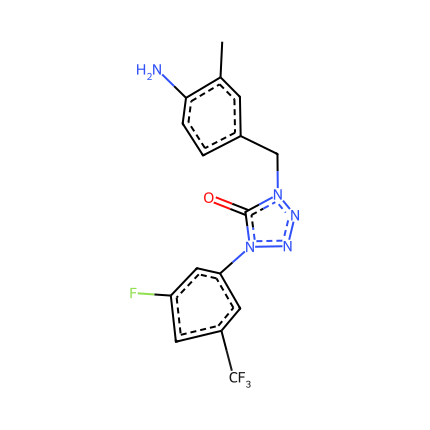 Cc1cc(Cn2nnn(-c3cc(F)cc(C(F)(F)F)c3)c2=O)ccc1N